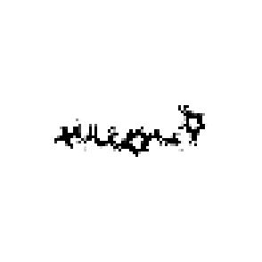 CC(C)(C)C(=O)NNCC(=O)Oc1ccc(COC(=O)ON2C(=O)CCC2=O)cc1